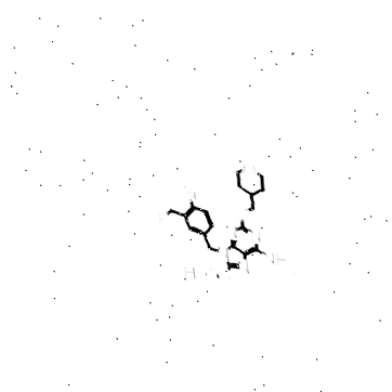 COc1nc2c(N)nc(OCC3CCOCC3)nc2n1Cc1ccc(Br)c(CF)c1